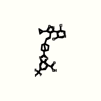 O=C(O)c1cc(C(F)(F)F)cc2nc(C34CCC(C=Cc5c(-c6c(Cl)cncc6Cl)noc5C5CC5)(CC3)CC4)sc12